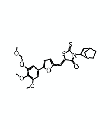 COCOc1cc(-c2ccc(/C=C3\SC(=S)N(C4CC5CCC4C5)C3=O)o2)cc(OC)c1OC